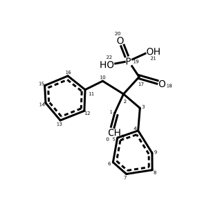 C=CC(Cc1ccccc1)(Cc1ccccc1)C(=O)P(=O)(O)O